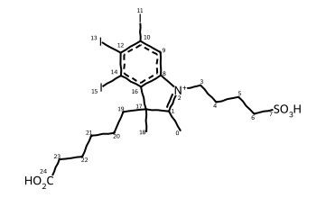 CC1=[N+](CCCCS(=O)(=O)O)c2cc(I)c(I)c(I)c2C1(C)CCCCCC(=O)O